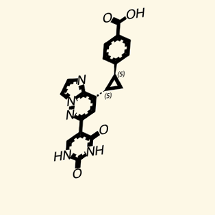 O=C(O)c1ccc([C@H]2C[C@@H]2c2cc(-c3c[nH]c(=O)[nH]c3=O)nn3ccnc23)cc1